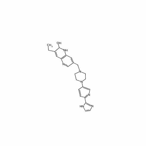 CCC1=Cc2ncc(CN3CCN(c4ccc(-c5ncc[nH]5)nc4)CC3)cc2NC1O